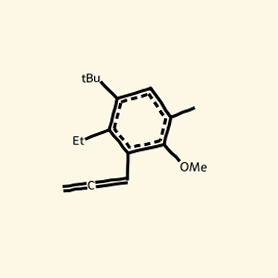 C=C=Cc1c(CC)c(C(C)(C)C)cc(C)c1OC